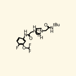 CC(C)(C)NC(=O)CN1C[C@@H]2C[C@H]1CN2CC(=O)Nc1ccc(F)c(OC(F)F)c1